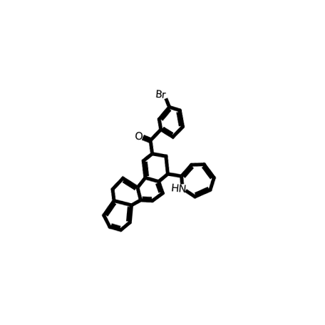 O=C(c1cccc(Br)c1)C1C=c2c(ccc3c2=CCc2ccccc2-3)C(C2=CC=CC=CN2)C1